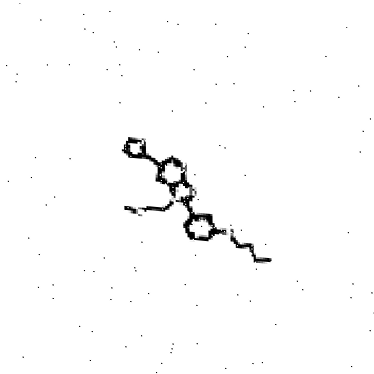 CCCCOc1cccc(-c2nc3ncc(-c4ccco4)cc3n2CCOC)c1